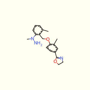 Cc1cc(C2=NCCO2)ccc1OCc1c(C)cccc1N(C)N